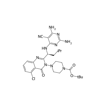 CC(C)C[C@H](Nc1nc(N)nc(N)c1C#N)c1nc2cccc(Cl)c2c(=O)n1N1CCN(C(=O)OC(C)(C)C)CC1